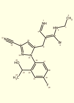 CCN/C(Br)=C(\C=N)Cc1cc(C#N)nn1-c1ccc(F)cc1C(C)O